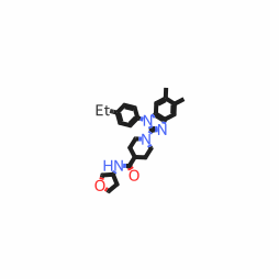 CCc1ccc(-n2c(N3CCC(C(=O)NC4CCOC4)CC3)nc3cc(C)c(C)cc32)cc1